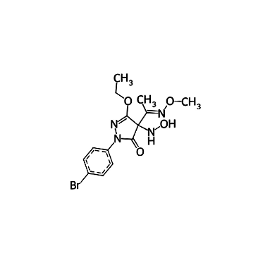 CCOC1=NN(c2ccc(Br)cc2)C(=O)C1(NO)C(C)=NOC